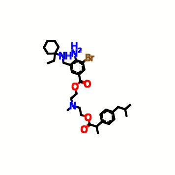 CCC1(NCc2cc(C(=O)OCCN(C)CCOC(=O)C(C)c3ccc(CC(C)C)cc3)cc(Br)c2N)CCCCC1